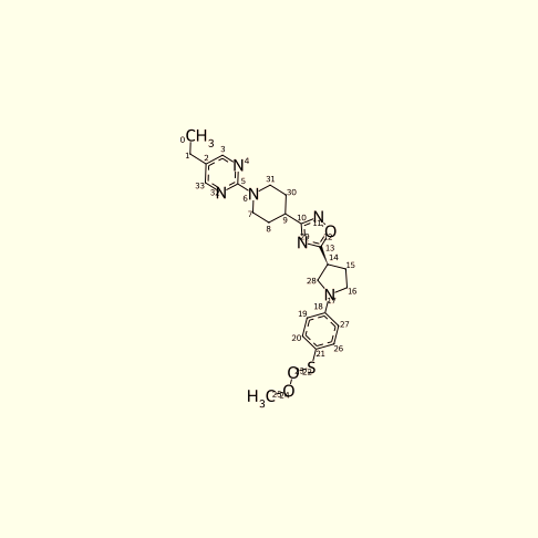 CCc1cnc(N2CCC(c3noc([C@H]4CCN(c5ccc(SOOC)cc5)C4)n3)CC2)nc1